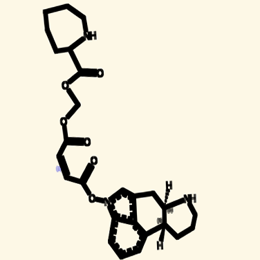 O=C(/C=C\C(=O)On1cc2c3c(cccc31)[C@H]1CCCN[C@@H]1C2)OCOC(=O)C1CCCCCN1